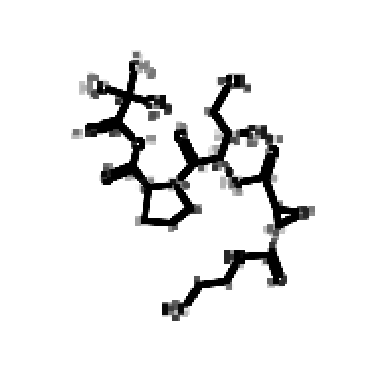 CCCNC(=O)[C@H]1OC1C(=O)N[C@H](C(=O)N1CCC[C@H]1C(=O)OC(=O)C(C)(C)C)[C@@H](C)CC